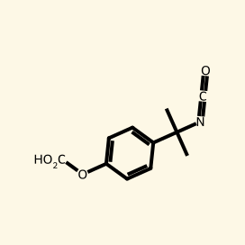 CC(C)(N=C=O)c1ccc(OC(=O)O)cc1